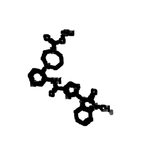 Cn1c2c(n(-c3nc(C(=O)Nc4cnccc4N4CCCN(C(=O)OC(C)(C)C)CC4)cs3)c1=O)CCC=C2